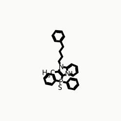 Cc1c(P(=S)(c2ccccc2)c2ccccc2)[n+]2ccccc2n1CCCCc1ccccc1